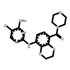 COc1nc(Nc2ccc(C(=O)N3CCOCC3)c3c2OCCO3)ncc1Cl